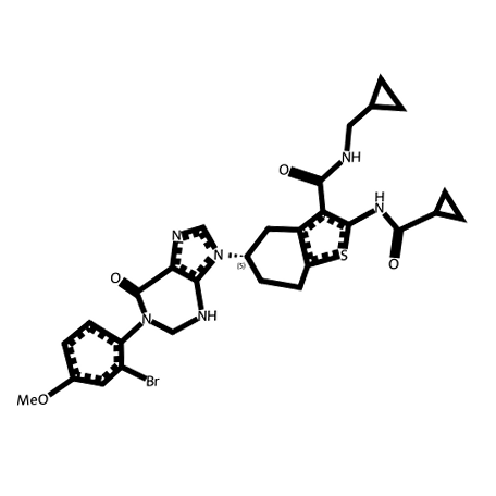 COc1ccc(N2CNc3c(ncn3[C@H]3CCc4sc(NC(=O)C5CC5)c(C(=O)NCC5CC5)c4C3)C2=O)c(Br)c1